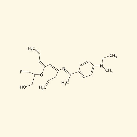 C=C\C=C(/C=C(CC=C)/N=C(\C)c1ccc(N(C)CC)cc1)OC(CO)CF